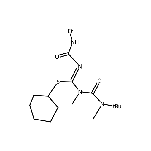 CCNC(=O)N=C(SC1CCCCC1)N(C)C(=O)N(C)C(C)(C)C